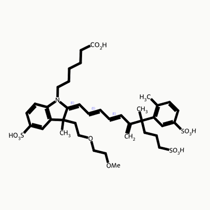 C=C(/C=C/C=C/C=C1/N(CCCCCC(=O)O)c2ccc(S(=O)(=O)O)cc2C1(C)CCOCCOC)C(C)(CCCS(=O)(=O)O)c1cc(S(=O)(=O)O)ccc1C